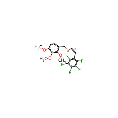 COc1ccc(CS/C=C\c2c(F)c(F)c(F)c(F)c2F)c(OC)c1OC